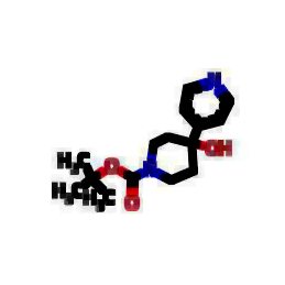 CC(C)(C)OC(=O)N1CCC(O)(c2ccncc2)CC1